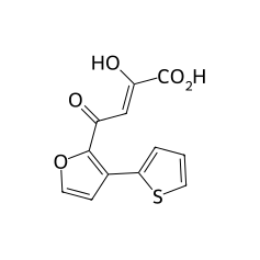 O=C(O)C(O)=CC(=O)c1occc1-c1cccs1